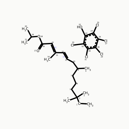 COC(C)(C)CCCC(C)C/C=C/C(C)=C/C(=O)OC(C)C.Oc1c(Cl)c(Cl)c(Cl)c(Cl)c1Cl